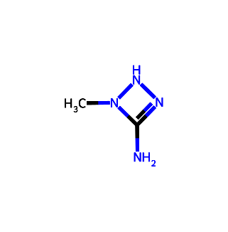 Cn1[nH]nc1N